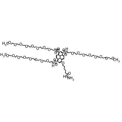 COCCOCCOCCOCCOCCOCCOCCOCCNS(=O)(=O)C1=CC(S(=O)(=O)NCCOCCOCCOCCOCCOCCOCCOCCOC)=C2C=CC3=C(S(=O)(=O)NCCOCCOCCOCCOCCOCCOCCOCCOC)C=C(OCCCCCC(=O)NN)C4=CC=C1C2C43